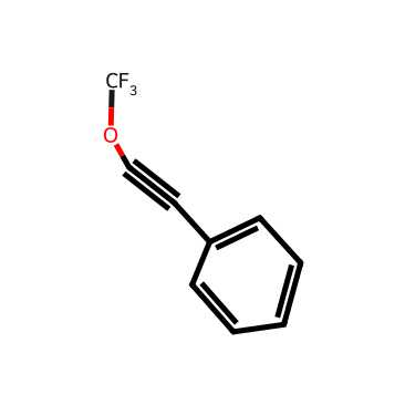 FC(F)(F)OC#Cc1ccccc1